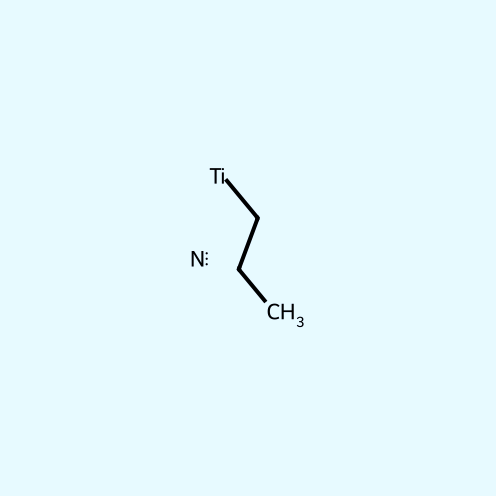 CC[CH2][Ti].[N]